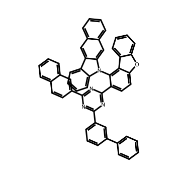 c1ccc(-c2cccc(-c3nc(-c4ccc5ccccc5c4)nc(-c4ccc5oc6ccccc6c5c4-n4c5ccccc5c5cc6ccccc6cc54)n3)c2)cc1